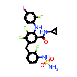 NS(=O)(=O)Nc1cccc(Cc2cc(C(=O)NC3CC3)c(Nc3ccc(I)cc3F)c(F)c2F)c1F